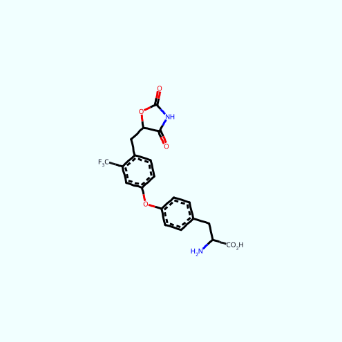 NC(Cc1ccc(Oc2ccc(CC3OC(=O)NC3=O)c(C(F)(F)F)c2)cc1)C(=O)O